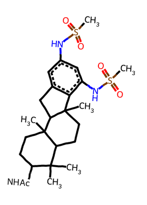 CC(=O)NC1CCC2(C)C3Cc4cc(NS(C)(=O)=O)cc(NS(C)(=O)=O)c4C3(C)CCC2C1(C)C